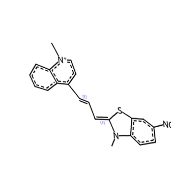 CN1/C(=C/C=C/c2cc[n+](C)c3ccccc23)Sc2cc([N+](=O)[O-])ccc21